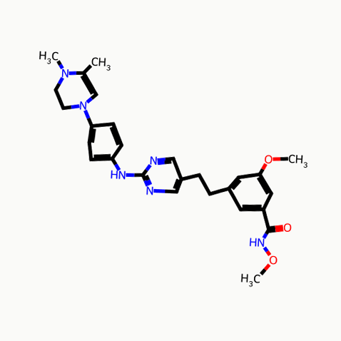 CONC(=O)c1cc(CCc2cnc(Nc3ccc(N4C=C(C)N(C)CC4)cc3)nc2)cc(OC)c1